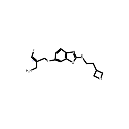 NC/C(=C/F)COc1ccc2nc(NCCC3COC3)oc2c1